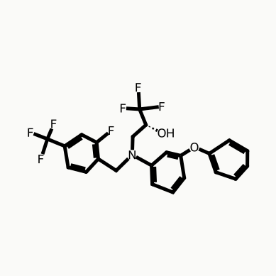 O[C@H](CN(Cc1ccc(C(F)(F)F)cc1F)c1cccc(Oc2ccccc2)c1)C(F)(F)F